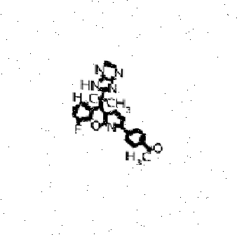 CC(=O)c1ccc(-c2ccc3c(n2)Oc2c(F)cccc2C3C(C)(C)c2nc3nccnc3[nH]2)cc1